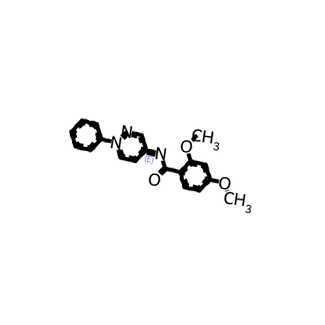 COc1ccc(C(=O)/N=c2\ccn(-c3ccccc3)nc2)c(OC)c1